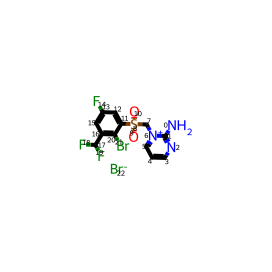 Nc1nccc[n+]1CS(=O)(=O)c1cc(F)cc(C(F)F)c1Br.[Br-]